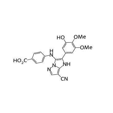 COc1cc(-c2[nH]c3c(C#N)cnn3c2Nc2ccc(C(=O)O)cc2)cc(O)c1OC